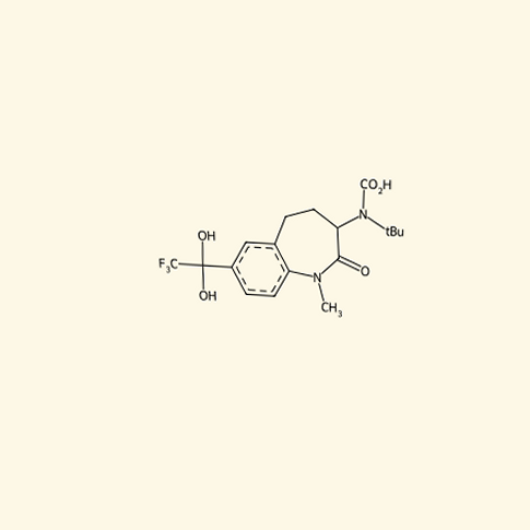 CN1C(=O)C(N(C(=O)O)C(C)(C)C)CCc2cc(C(O)(O)C(F)(F)F)ccc21